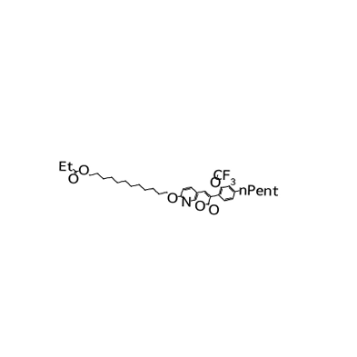 CCCCCc1ccc(-c2cc3ccc(OCCCCCCCCCCCCOC(=O)CC)nc3oc2=O)c(OC(F)(F)F)c1